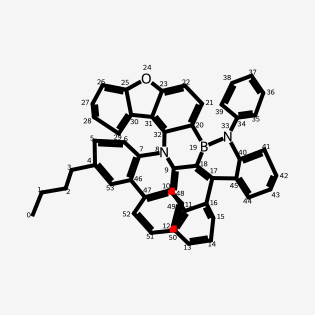 CCCCc1ccc(N2c3cc4ccccc4c4c3B(c3ccc5oc6ccccc6c5c32)N(c2ccccc2)c2ccccc2-4)c(-c2ccccc2)c1